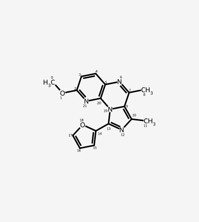 COc1ccc2nc(C)c3c(C)nc(-c4ccco4)n3c2n1